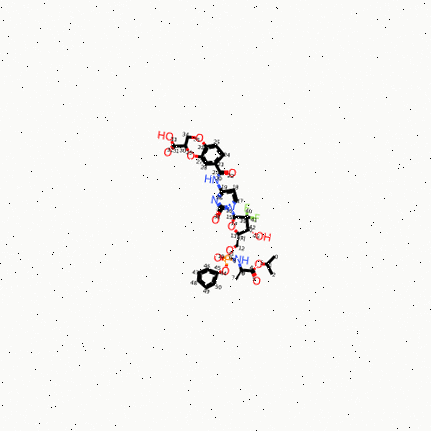 CC(C)OC(=O)[C@@H](C)NP(=O)(OC[C@H]1OC(n2ccc(NC(=O)c3ccc4c(c3)OC(C(=O)O)CO4)nc2=O)C(F)(F)[C@@H]1O)Oc1ccccc1